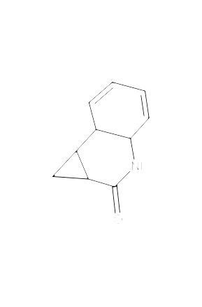 O=C1NC2C=CC=CC2C2CC12